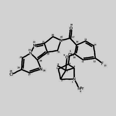 CCCN1C2CC(O)C1C2(C)Oc1cc(F)ccc1C(=O)N1Cc2nn3cc(Cl)cnc3c2C1